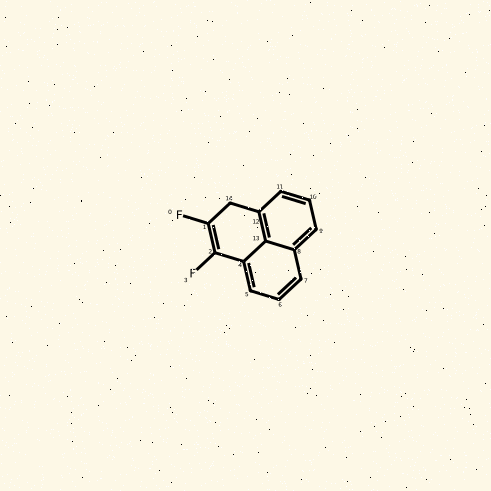 FC1=C(F)c2cccc3cccc(c23)C1